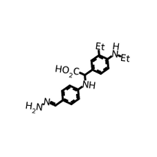 CCNc1ccc(C(Nc2ccc(C=NN)cc2)C(=O)O)cc1CC